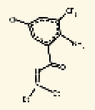 CCS(CC)=NC(=O)c1cc(Cl)cc(C(F)(F)F)c1N